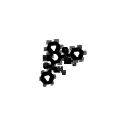 NP(=O)(c1ccccc1)C1CC(P(N)(=O)c2ccccc2)c2ccccc2N1